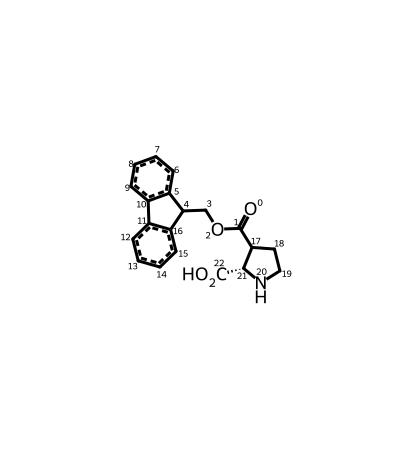 O=C(OCC1c2ccccc2-c2ccccc21)C1CCN[C@@H]1C(=O)O